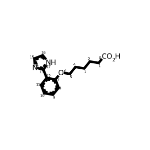 O=C(O)CCCCCOc1ccccc1-c1ncc[nH]1